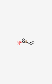 COC(=O)COc1ccc(SCCCc2ccc3ccccc3c2)c2c1CCC2